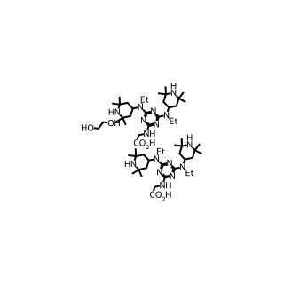 CCN(c1nc(NCC(=O)O)nc(N(CC)C2CC(C)(C)NC(C)(C)C2)n1)C1CC(C)(C)NC(C)(C)C1.CCN(c1nc(NCC(=O)O)nc(N(CC)C2CC(C)(C)NC(C)(C)C2)n1)C1CC(C)(C)NC(C)(C)C1.OCCO